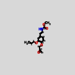 C=CCOc1cc(C=CNC(=O)OC)ccc1OCC1CO1